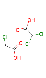 O=C(O)C(Cl)Cl.O=C(O)CCl